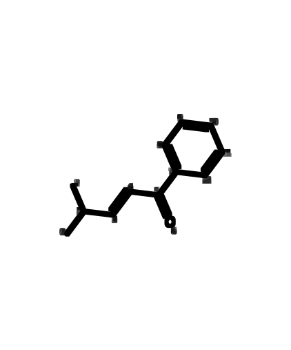 CC(C)C=CC(=O)c1ccccc1